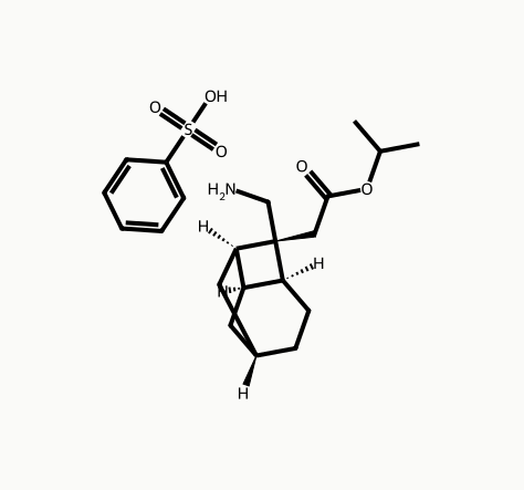 CC(C)OC(=O)C[C@]1(CN)[C@@H]2C[C@@H]3CC[C@H]1[C@H]2C3.O=S(=O)(O)c1ccccc1